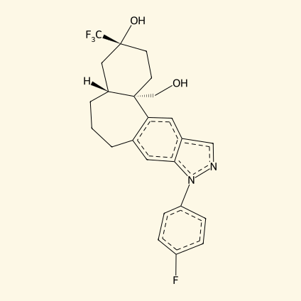 OC[C@@]12CC[C@](O)(C(F)(F)F)C[C@H]1CCCc1cc3c(cnn3-c3ccc(F)cc3)cc12